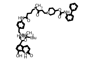 CN(CCCC(=O)Nc1ccc(CNC[C@@H](O[Si](C)(C)C(C)(C)C)c2ccc(O)c3[nH]c(=O)ccc23)cc1)C(=O)CCN1CCC(OC(=O)Nc2ccccc2-c2ccccc2)CC1